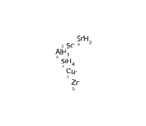 [AlH3].[Cu].[Sc].[SiH4].[SrH2].[Zr]